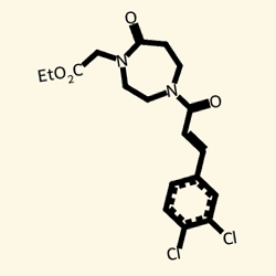 CCOC(=O)CN1CCN(C(=O)/C=C/c2ccc(Cl)c(Cl)c2)CCC1=O